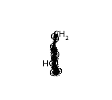 C=CC(=O)OCCCCOc1ccc(C(=O)OC2=CC=C(OC(O)c3ccc(N4C(=O)C=CC4=O)cc3)CC2)cc1